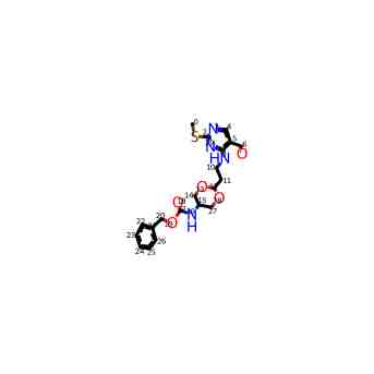 CSc1ncc(C=O)c(NCCC2OCC(NC(=O)OCc3ccccc3)CO2)n1